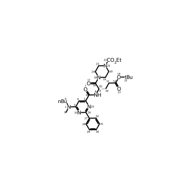 CCCCN(C)c1cc(C(=O)N[C@@H](CCC(=O)OC(C)(C)C)C(=O)N2CCN(C(=O)OCC)CC2)nc(-c2ccccc2)n1